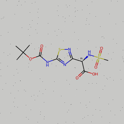 CC(C)(C)OC(=O)Nc1nc([C@@H](NS(C)(=O)=O)C(=O)O)ns1